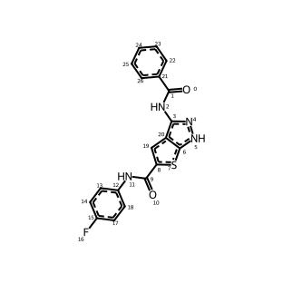 O=C(Nc1n[nH]c2sc(C(=O)Nc3ccc(F)cc3)cc12)c1ccccc1